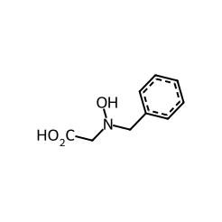 O=C(O)CN(O)Cc1ccccc1